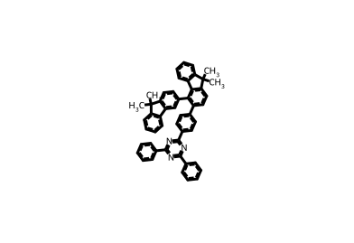 CC1(C)c2ccccc2-c2cc(-c3c(-c4ccc(-c5nc(-c6ccccc6)nc(-c6ccccc6)n5)cc4)ccc4c3-c3ccccc3C4(C)C)ccc21